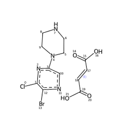 Clc1nc(N2CCNCC2)cnc1Br.O=C(O)/C=C/C(=O)O